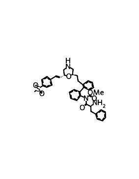 COC(=O)N(C(=O)[C@@H](N)Cc1ccccc1)c1ccccc1-c1ccccc1CC[C@@H]1CNC[C@@H](/C=C/c2ccc(S(C)(=O)=O)cc2)O1